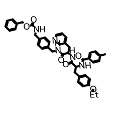 CCOc1ccc(CC(NC(=O)c2ccc(C)cc2)C(=O)NC(Cc2cccnc2)C(=O)NCc2ccc(CNC(=O)OCc3ccccc3)cc2)cc1